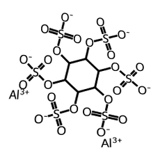 O=S(=O)([O-])OC1C(OS(=O)(=O)[O-])C(OS(=O)(=O)[O-])C(OS(=O)(=O)[O-])C(OS(=O)(=O)[O-])C1OS(=O)(=O)[O-].[Al+3].[Al+3]